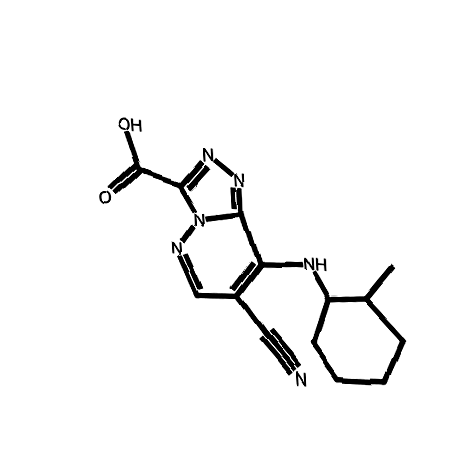 CC1CCCCC1Nc1c(C#N)cnn2c(C(=O)O)nnc12